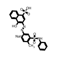 Cc1ccc(N=Nc2cc(S(=O)(=O)O)c3ccccc3c2O)cc1S(=O)(=O)Nc1ccccc1.[NaH]